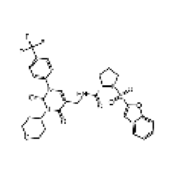 O=C(NCc1cn(-c2ccc(C(F)(F)F)cc2)c(=O)n(C2CCOCC2)c1=O)[C@@H]1CCCN1S(=O)(=O)c1cc2ccccc2o1